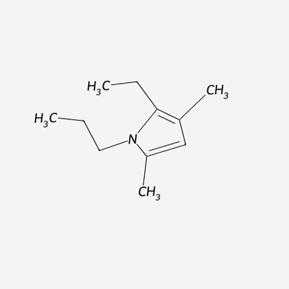 CCCn1c(C)cc(C)c1CC